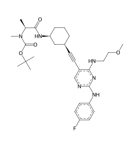 COCCNc1nc(Nc2ccc(F)cc2)ncc1C#C[C@@H]1CCC[C@H](NC(=O)[C@H](C)N(C)C(=O)OC(C)(C)C)C1